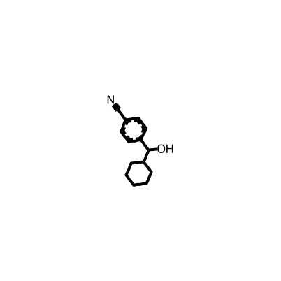 N#Cc1ccc(C(O)C2CCCCC2)cc1